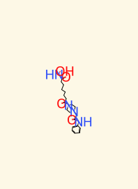 O=C(CCCCCCC(=O)N1CCN(CC(=O)Nc2ccccc2)CC1)NO